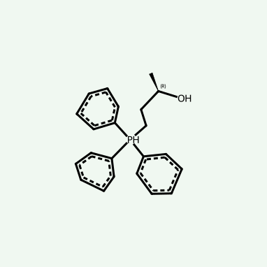 C[C@@H](O)CC[PH](c1ccccc1)(c1ccccc1)c1ccccc1